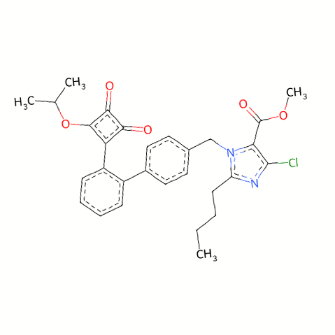 CCCCc1nc(Cl)c(C(=O)OC)n1Cc1ccc(-c2ccccc2-c2c(OC(C)C)c(=O)c2=O)cc1